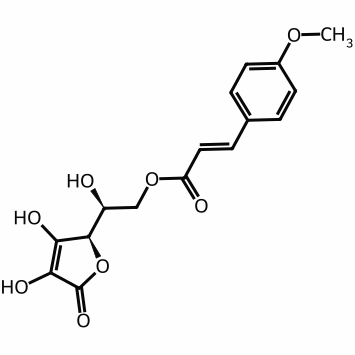 COc1ccc(C=CC(=O)OC[C@H](O)[C@H]2OC(=O)C(O)=C2O)cc1